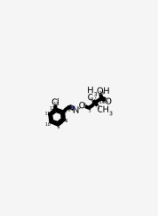 CC(C)(CO/N=C/c1ccccc1Cl)C(=O)O